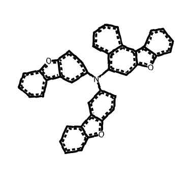 c1ccc2c(c1)oc1ccc(N(c3ccc4oc5ccccc5c4c3)c3cc4oc5ccccc5c4c4ccccc34)cc12